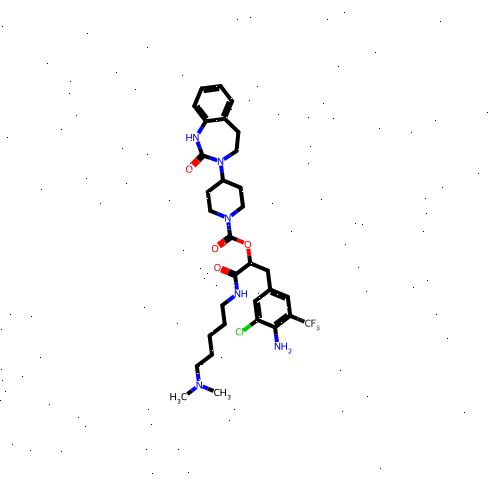 CN(C)CCCCCNC(=O)C(Cc1cc(Cl)c(N)c(C(F)(F)F)c1)OC(=O)N1CCC(N2CCc3ccccc3NC2=O)CC1